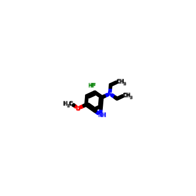 CCN(CC)c1ccc(OC)c2c1N2.F